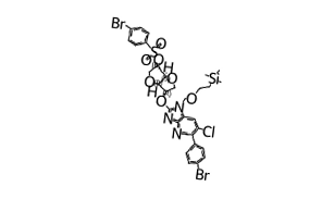 C[Si](C)(C)CCOCn1c(O[C@@H]2CO[C@H]3[C@@H]2OC[C@H]3OS(=O)(=O)c2ccc(Br)cc2)nc2nc(-c3ccc(Br)cc3)c(Cl)cc21